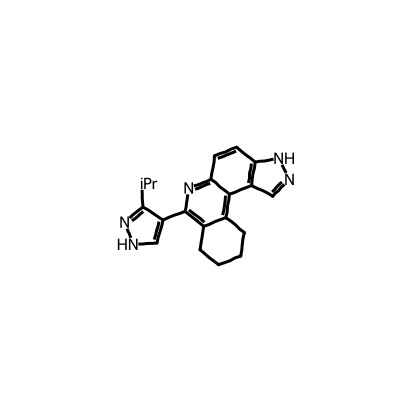 CC(C)c1n[nH]cc1-c1nc2ccc3[nH]ncc3c2c2c1CCCC2